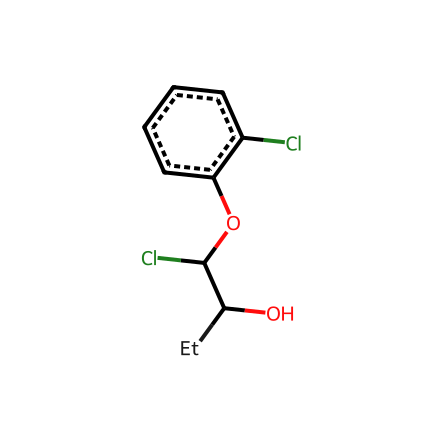 CCC(O)C(Cl)Oc1ccccc1Cl